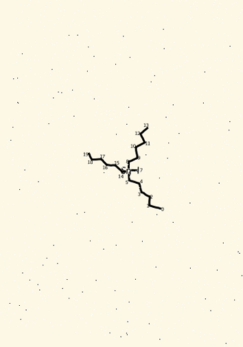 CCCCC[CH2][Sn]([I])([CH2]CCCCC)[CH2]CCCCC